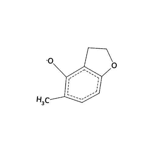 Cc1ccc2c(c1[O])CCO2